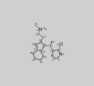 C[C@@H](c1cccnc1Cl)c1c(CCN(C)C)sc2ccccc12